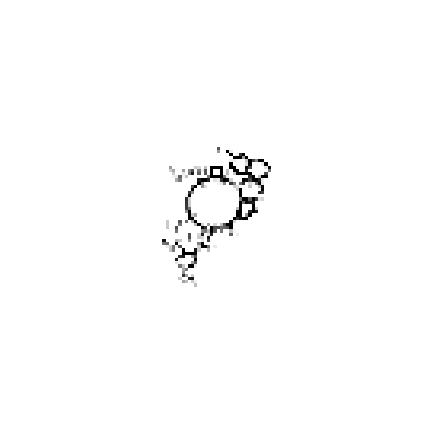 CO[C@H]1CCC[C@H](C)C[S@@](=O)(NC(=O)C2CN(C)N=C2C)=NC(=O)c2ccc3c(c2)N(C[C@@H]2CC[C@H]21)C[C@@]1(CCCc2cc(Cl)ccc21)CO3